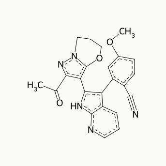 COc1ccc(C#N)c(-c2c(-c3c(C(C)=O)nn4c3OCCC4)[nH]c3ncccc23)c1